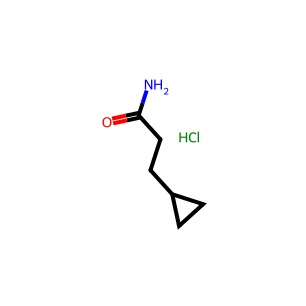 Cl.NC(=O)CCC1CC1